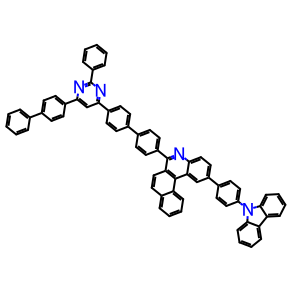 c1ccc(-c2ccc(-c3cc(-c4ccc(-c5ccc(-c6nc7ccc(-c8ccc(-n9c%10ccccc%10c%10ccccc%109)cc8)cc7c7c6ccc6ccccc67)cc5)cc4)nc(-c4ccccc4)n3)cc2)cc1